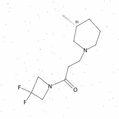 C[C@@H]1CCCN(CCC(=O)N2CC(F)(F)C2)C1